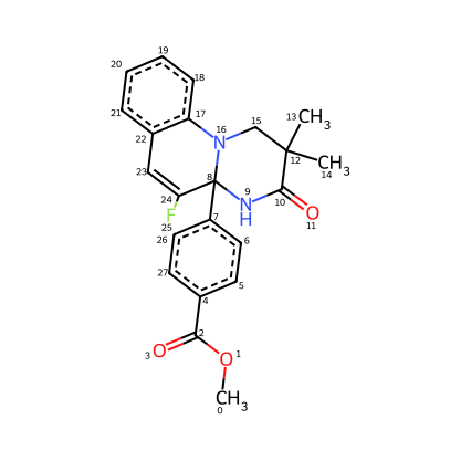 COC(=O)c1ccc(C23NC(=O)C(C)(C)CN2c2ccccc2C=C3F)cc1